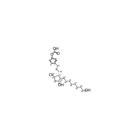 O=C(O)Oc1ccc(CCC[C@@H]2[C@@H](CCCCCCCCO)[C@H](O)C[C@H]2Cl)s1